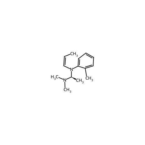 C/C=C\N(c1ccccc1C)[C@@H](C)N(C)C